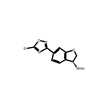 CCc1nc(-c2ccc3c(c2)OC[C@H]3NC(C)=O)no1